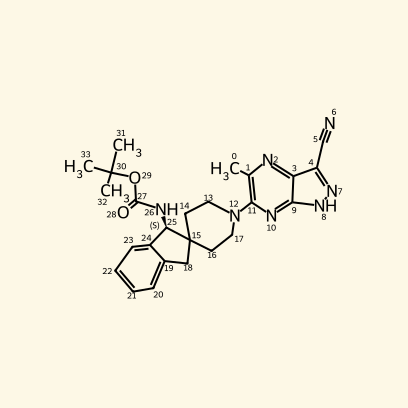 Cc1nc2c(C#N)n[nH]c2nc1N1CCC2(CC1)Cc1ccccc1[C@H]2NC(=O)OC(C)(C)C